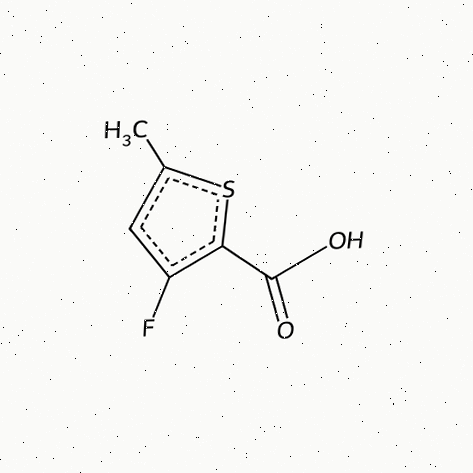 Cc1cc(F)c(C(=O)O)s1